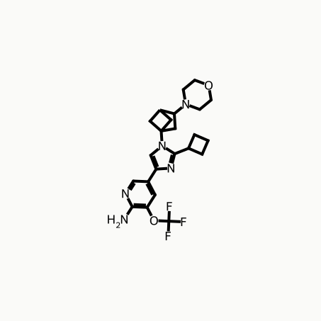 Nc1ncc(-c2cn(C34CC(C3)C(N3CCOCC3)C4)c(C3CCC3)n2)cc1OC(F)(F)F